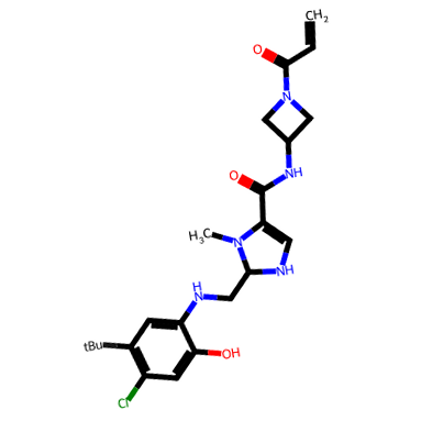 C=CC(=O)N1CC(NC(=O)C2=CNC(CNc3cc(C(C)(C)C)c(Cl)cc3O)N2C)C1